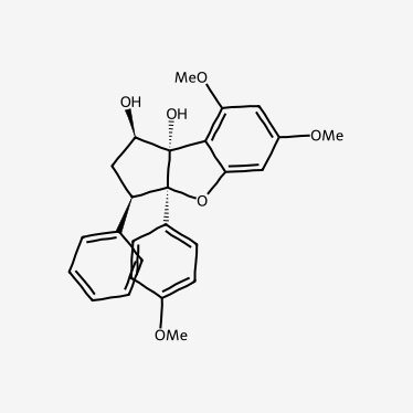 COc1ccc([C@@]23Oc4cc(OC)cc(OC)c4[C@]2(O)[C@H](O)C[C@@H]3c2ccccc2)cc1